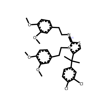 COc1ccc(CC/N=c2/scc(C(C)(C)c3ccc(Cl)c(Cl)c3)n2CCc2ccc(OC)c(OC)c2)cc1OC